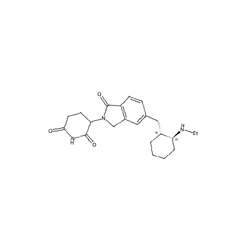 CCN[C@H]1CCCC[C@@H]1Cc1ccc2c(c1)CN(C1CCC(=O)NC1=O)C2=O